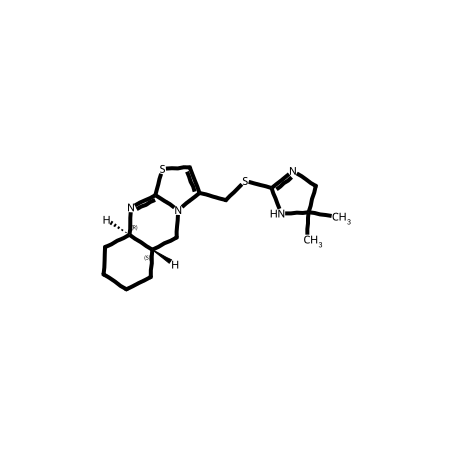 CC1(C)CN=C(SCC2=CSC3=N[C@@H]4CCCC[C@H]4CN23)N1